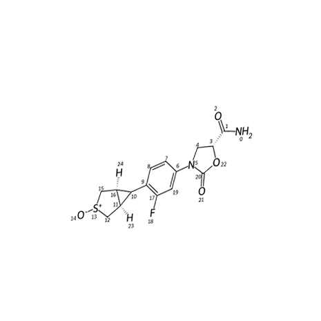 NC(=O)[C@H]1CN(c2ccc(C3[C@H]4C[S+]([O-])C[C@@H]34)c(F)c2)C(=O)O1